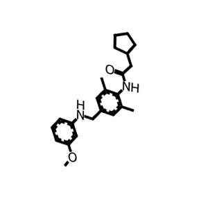 COc1cccc(NCc2cc(C)c(NC(=O)CC3CCCC3)c(C)c2)c1